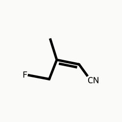 C/C(=C/C#N)CF